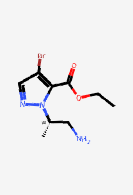 CCOC(=O)c1c(Br)cnn1[C@@H](C)CN